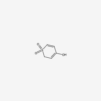 O=S1(=O)C=CC(O)=CC1